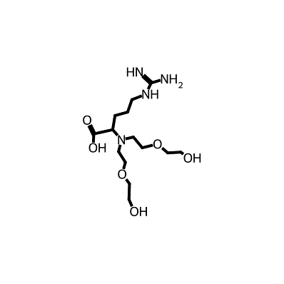 N=C(N)NCCCC(C(=O)O)N(CCOCCO)CCOCCO